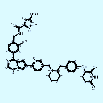 CC(C)(C)c1nc(C(=O)NCc2ccc(-c3ncnn4cc(-c5ccc(CN6CCCCC6Cc6ccc(OC7CCC(=O)NC7=O)cc6)cn5)cc34)cc2F)no1